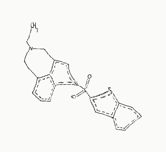 CCN1Cc2cccc3c2c(cn3S(=O)(=O)c2cc3ccccc3s2)C1